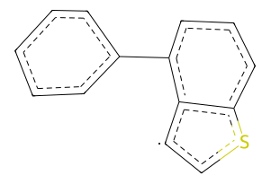 [c]1csc2cccc(-c3ccccc3)c12